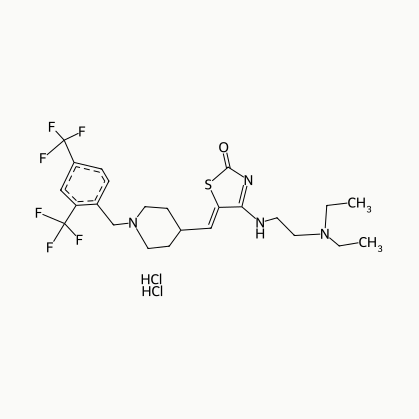 CCN(CC)CCNC1=NC(=O)S/C1=C\C1CCN(Cc2ccc(C(F)(F)F)cc2C(F)(F)F)CC1.Cl.Cl